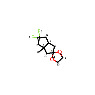 CC12CC(F)(F)CC1CC1(C2)OCCO1